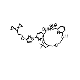 CC1(C)CC2COCCNc3cccc(n3)S(=O)(=O)NC(=O)c3ccc(-n4ccc(OCCC5C6(CC6)C56CC6)n4)nc3N1C2